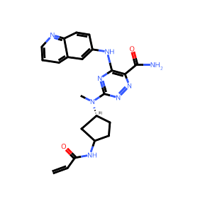 C=CC(=O)NC1CC[C@@H](N(C)c2nnc(C(N)=O)c(Nc3ccc4ncccc4c3)n2)C1